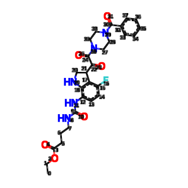 CCOC(=O)CCCNC(=O)Nc1ccc(F)c2c1NCC2C(=O)C(=O)N1CCN(C(=O)c2ccccc2)CC1